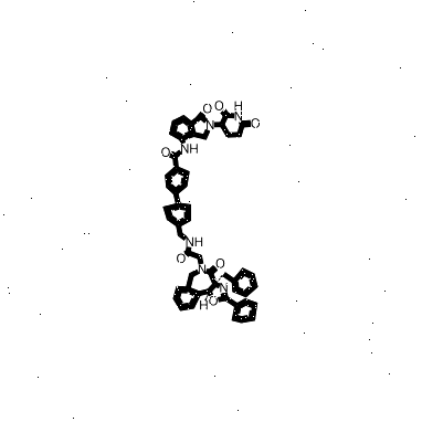 O=C(CN1Cc2ccccc2[C@@H]2OC(c3ccccc3)=N[C@]2(Cc2ccccc2)C1=O)NCc1ccc(-c2ccc(C(=O)Nc3cccc4c3CN(C3CCC(=O)NC3=O)C4=O)cc2)cc1